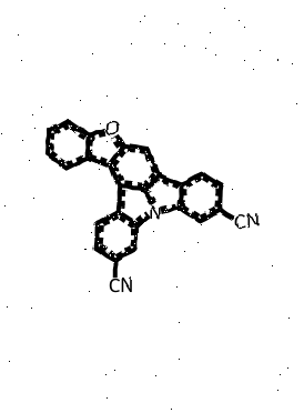 N#Cc1ccc2c3cc4oc5ccccc5c4c4c5ccc(C#N)cc5n(c2c1)c34